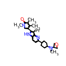 Cc1c(-c2[nH]c3ccc(C4CCC(N(C)C5COC5)CC4)nc3c2C(C)C)cn(C)c(=O)c1C